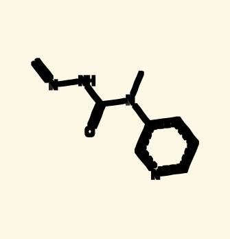 C=NNC(=O)N(C)c1cccnc1